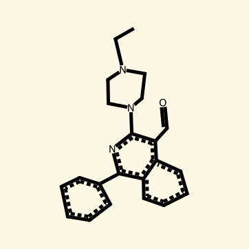 CCN1CCN(c2nc(-c3ccccc3)c3ccccc3c2C=O)CC1